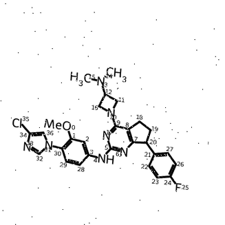 COc1cc(Nc2nc3c(c(N4CC(N(C)C)C4)n2)CCC3c2ccc(F)cc2)ccc1-n1cnc(Cl)c1